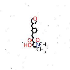 Cc1cc(O)c(C(=O)C=Cc2cccc(C=C3CCOCC3)c2)c(=O)n1C